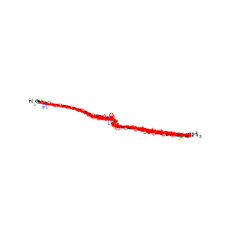 CCCC(=S)CCCOCCOCCOCCOCCOCCOCCOCCOCCOCCOCCOCCCC(=O)C(F)(F)OC(F)(F)C(F)(F)OC(F)(F)C(=O)NCCOCCOCCOCCOCCOCCOCCOCCOCCOCCOCCOCCNC(=S)CCC